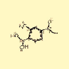 C[S+]([O-])c1ccc(B(O)O)c(C(F)(F)F)c1